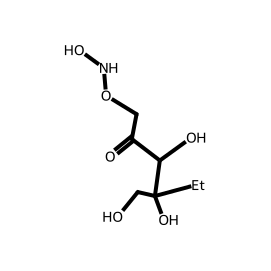 CCC(O)(CO)C(O)C(=O)CONO